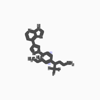 C=C(/C=C\C(=C/CCC)C(CCN)C(F)(F)F)n1cc(-c2ccnc3[nH]cnc23)cn1